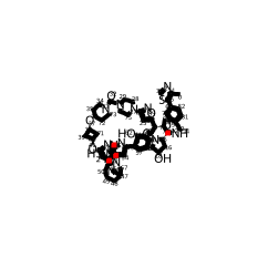 Cc1ncsc1-c1ccc([C@H](C)NC(=O)[C@@H]2C[C@@H](O)CN2C(=O)[C@H](c2cc(N3CCN(C(=O)N4CCC(O[C@H]5C[C@H](Oc6cc(N7CC8CCC7CN(c7cc(-c9ccccc9O)nnc7N)C8)ccn6)C5)CC4)CC3)no2)C(C)C)cc1